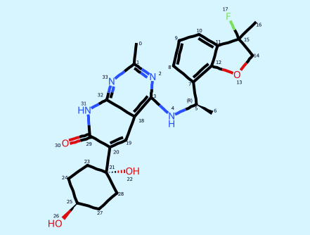 Cc1nc(N[C@H](C)c2cccc3c2OCC3(C)F)c2cc([C@]3(O)CC[C@H](O)CC3)c(=O)[nH]c2n1